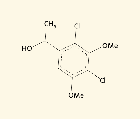 COc1cc(C(C)O)c(Cl)c(OC)c1Cl